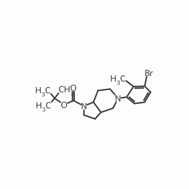 Cc1c(Br)cccc1N1CCC2C(CCN2C(=O)OC(C)(C)C)C1